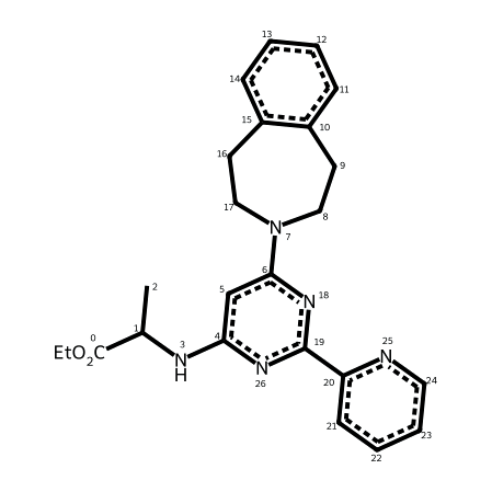 CCOC(=O)C(C)Nc1cc(N2CCc3ccccc3CC2)nc(-c2ccccn2)n1